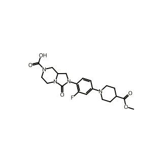 COC(=O)C1CCN(c2ccc(N3CC4CN(C(=O)O)CCN4C3=O)c(F)c2)CC1